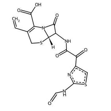 C=CC1=C(C(=O)O)N2C(=O)C(NC(=O)C(=O)c3csc(NC=O)n3)[C@@H]2SC1